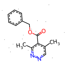 Cc1cnnc(C)c1C(=O)OCc1ccccc1